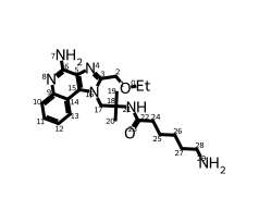 CCOCc1nc2c(N)nc3ccccc3c2n1CC(C)(C)NC(=O)CCCCCN